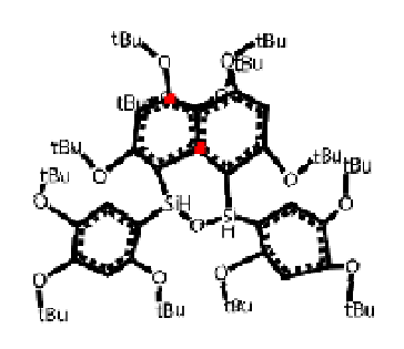 CC(C)(C)Oc1cc(OC(C)(C)C)c([SiH](O[SiH](c2cc(OC(C)(C)C)c(OC(C)(C)C)cc2OC(C)(C)C)c2cc(OC(C)(C)C)c(OC(C)(C)C)cc2OC(C)(C)C)c2cc(OC(C)(C)C)c(OC(C)(C)C)cc2OC(C)(C)C)cc1OC(C)(C)C